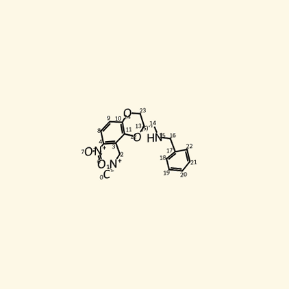 [C-]#[N+]Cc1c([N+](=O)[O-])ccc2c1O[C@@H](CNCc1ccccc1)CO2